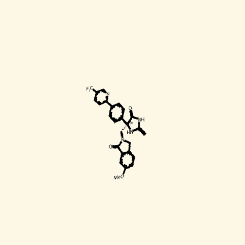 C=C1NC(=O)[C@](CN2Cc3ccc(OC)cc3C2=O)(c2ccc(-c3ccc(C(F)(F)F)cn3)cc2)N1